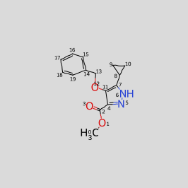 COC(=O)c1n[nH]c(C2CC2)c1OCc1ccccc1